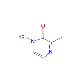 Cc1nccn(C(C)(C)C)c1=O